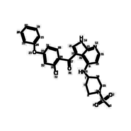 CS(=O)(=O)N1CCC(Nc2ccnc3[nH]cc(C(=O)c4ccc(Oc5ccccc5)cc4Cl)c23)CC1